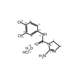 Cl.NC1=NCCN1C(=O)Nc1ccc(Cl)c(Cl)c1.O